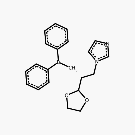 CB(c1ccccc1)c1ccccc1.c1cn(CCC2OCCO2)cn1